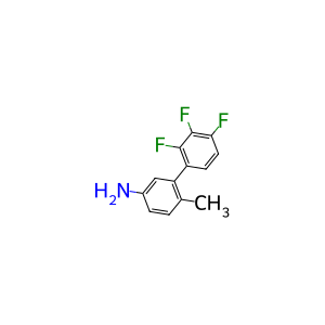 Cc1ccc(N)cc1-c1ccc(F)c(F)c1F